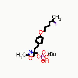 C=C(I)CCCCOc1ccc(CCC2(COP(=O)(O)OC(C)(C)C)COC(C)=N2)cc1